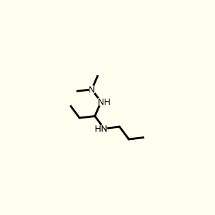 CCCNC(CC)NN(C)C